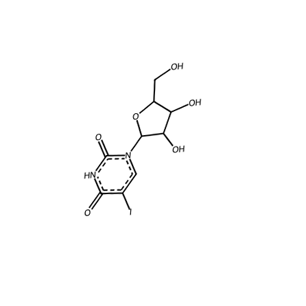 O=c1[nH]c(=O)n(C2OC(CO)C(O)C2O)cc1I